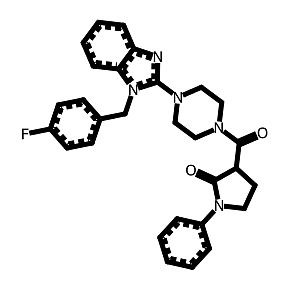 O=C(C1CCN(c2ccccc2)C1=O)N1CCN(c2nc3ccccc3n2Cc2ccc(F)cc2)CC1